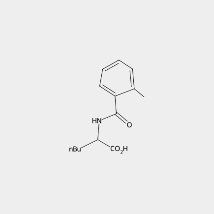 CCCCC(NC(=O)c1ccccc1C)C(=O)O